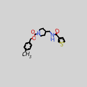 Cc1ccc(COC(=O)N2CCC(CNC(=O)c3ccsc3)CC2)cc1